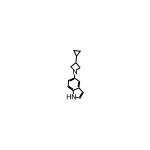 c1cc2cc(N3CC(C4CC4)C3)ccc2[nH]1